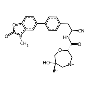 CC(C)[C@]1(O)CNC[C@@H](C(=O)N[C@H](C#N)Cc2ccc(-c3ccc4oc(=O)n(C)c4c3)cc2)OC1